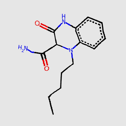 CCCCCN1c2ccccc2NC(=O)C1C(N)=O